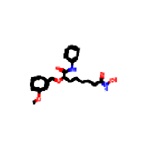 COc1cccc(COC(CCCCCC(=O)NO)C(=O)Nc2ccccc2)c1